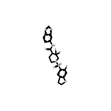 O=C(Nc1ccc2scnc2c1)C1CCN(S(=O)(=O)c2cc3c(cc2F)OCC3)CC1(F)F